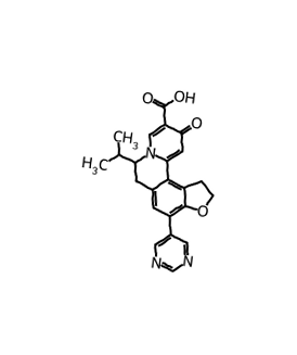 CC(C)C1Cc2cc(-c3cncnc3)c3c(c2-c2cc(=O)c(C(=O)O)cn21)CCO3